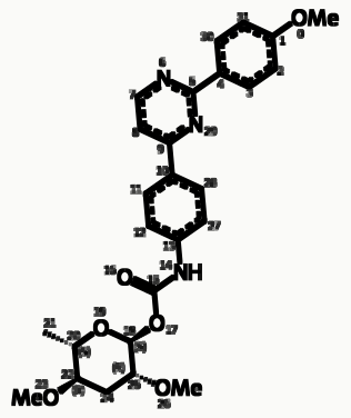 COc1ccc(-c2nccc(-c3ccc(NC(=O)O[C@@H]4O[C@@H](C)[C@H](OC)C[C@H]4OC)cc3)n2)cc1